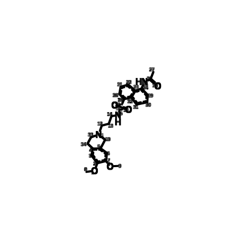 COc1cc2c(cc1OC)CN(CCCNS(=O)(=O)c1cccc3c(NC(C)=O)cccc13)CC2